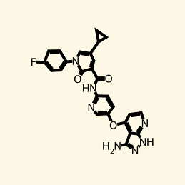 Nc1n[nH]c2nccc(Oc3ccc(NC(=O)c4cc(C5CC5)cn(-c5ccc(F)cc5)c4=O)nc3)c12